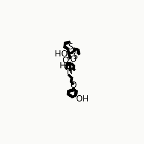 O=C(O[C@H]1C[N+]2(CCCOc3cccc(O)c3)CCC1CC2)C(O)(c1cccs1)c1cccs1